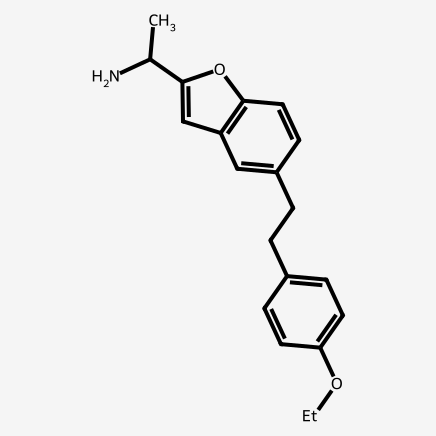 CCOc1ccc(CCc2ccc3oc(C(C)N)cc3c2)cc1